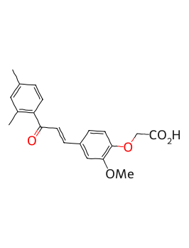 COc1cc(/C=C/C(=O)c2ccc(C)cc2C)ccc1OCC(=O)O